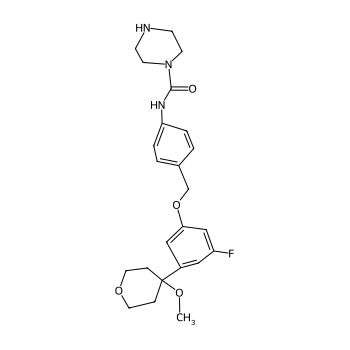 COC1(c2cc(F)cc(OCc3ccc(NC(=O)N4CCNCC4)cc3)c2)CCOCC1